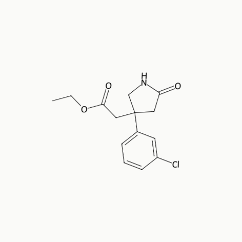 CCOC(=O)CC1(c2cccc(Cl)c2)CNC(=O)C1